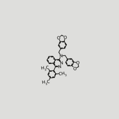 Cc1cc(C)c(-c2nnc(N(Cc3ccc4c(c3)OCO4)Cc3ccc4c(c3)OCO4)c3ccccc23)c(C)c1